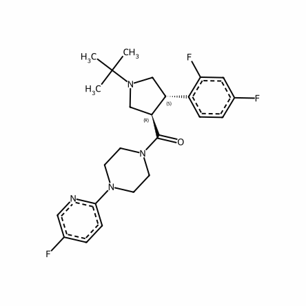 CC(C)(C)N1C[C@H](C(=O)N2CCN(c3ccc(F)cn3)CC2)[C@@H](c2ccc(F)cc2F)C1